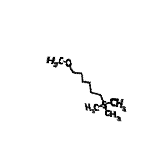 COCCCCCCS(C)(C)C